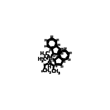 CC[SiH](CC)[Hf]([CH3])([CH3])([CH]1C=Cc2ccccc21)[CH]1C=Cc2ccccc21